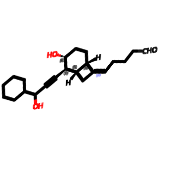 O=CCCC/C=C1/C[C@@H]2[C@@H](C#CC(O)C3CCCCC3)[C@H](O)CC[C@H]12